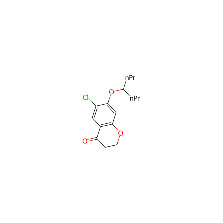 CCCC(CCC)Oc1cc2c(cc1Cl)C(=O)CCO2